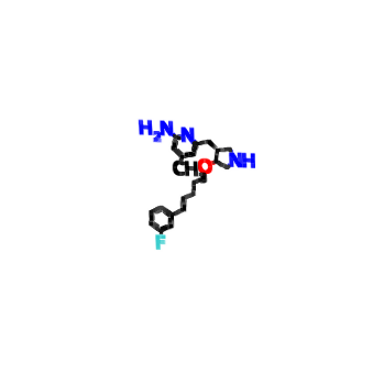 Cc1cc(N)nc(C[C@H]2CNC[C@H]2OCCC/C=C/c2cccc(F)c2)c1